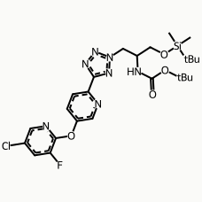 CC(C)(C)OC(=O)NC(CO[Si](C)(C)C(C)(C)C)Cn1nnc(-c2ccc(Oc3ncc(Cl)cc3F)cn2)n1